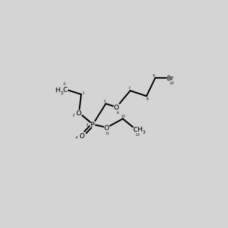 CCOP(=O)(COCCCBr)OCC